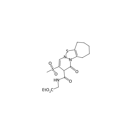 CCOC(=O)CNC(=O)C1C(=O)N2C3=C(CCCCC3)SN2C=C1S(C)(=O)=O